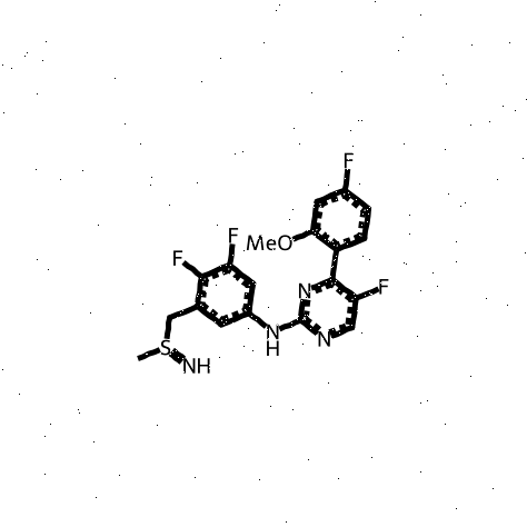 COc1cc(F)ccc1-c1nc(Nc2cc(F)c(F)c(CS(C)=N)c2)ncc1F